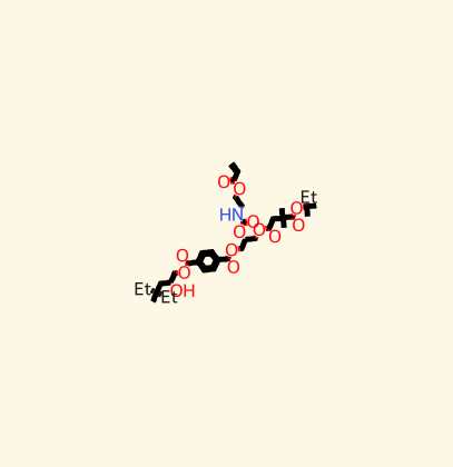 C=CC(=O)OCCNC(=O)OC(COC(=O)CC(C)(C)C(=O)OC(C)(C)CC)COC(=O)c1ccc(C(=O)OCC(O)CC(C)(CC)CC)cc1